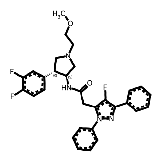 COCCN1C[C@@H](NC(=O)Cc2c(F)c(-c3ccccc3)nn2-c2ccccc2)[C@H](c2ccc(F)c(F)c2)C1